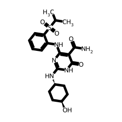 CC(C)S(=O)(=O)c1ccccc1Nc1nc(N[C@H]2CC[C@H](O)CC2)[nH]c(=O)c1C(N)=O